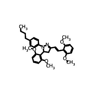 CCCCc1ccc(N2N=C(C=Cc3c(OC)cccc3OC)CC2c2c(OC)cccc2OC)cc1